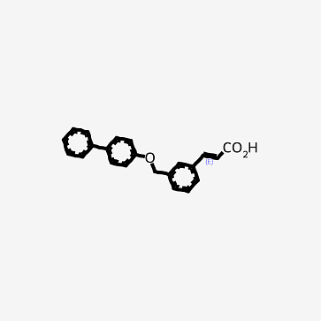 O=C(O)/C=C/c1cccc(COc2ccc(-c3ccccc3)cc2)c1